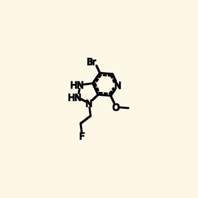 COc1ncc(Br)c2c1N(CCF)NN2